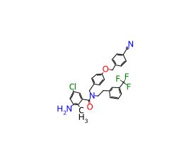 Cc1c(N)cc(Cl)cc1C(=O)N(CCc1cccc(C(F)(F)F)c1)Cc1ccc(OCc2ccc(C#N)cc2)cc1